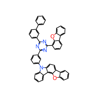 c1ccc(-c2cccc(-c3nc(-c4cccc(-n5c6ccccc6c6c7oc8ccccc8c7ccc65)c4)nc(-c4cccc5c4oc4ccccc45)n3)c2)cc1